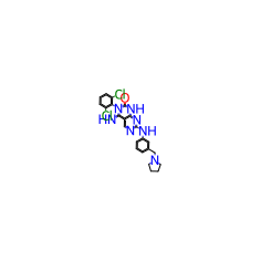 N=c1c2cnc(Nc3cccc(CN4CCCC4)c3)nc2[nH]c(=O)n1-c1c(Cl)cccc1Cl